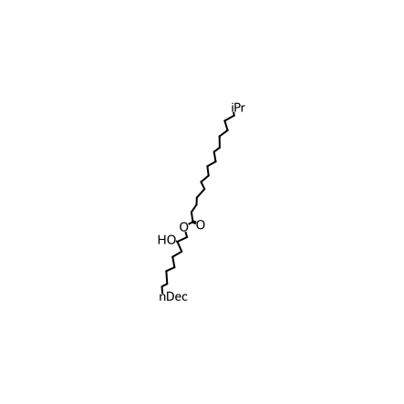 CCCCCCCCCCCCCCCCC(O)COC(=O)CCCCCCCCCCCCCCC(C)C